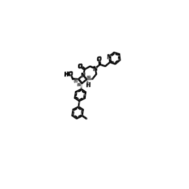 Cc1cccc(-c2ccc([C@@H]3[C@@H](CO)N4C(=O)CN(C(=O)Cc5ccccn5)CC[C@@H]34)cc2)c1